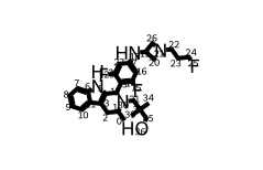 CC1Cc2c([nH]c3ccccc23)C(c2c(F)cc(NC3CN(CCCF)C3)cc2F)N1CC(C)(C)CO